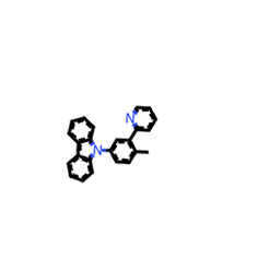 Cc1ccc(-n2c3ccccc3c3ccccc32)cc1-c1ccccn1